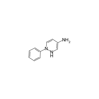 NC1=CNN(c2ccccc2)C=C1